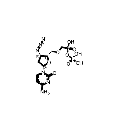 [N-]=[N+]=N[C@H]1C[C@@H](n2ccc(N)nc2=O)O[C@H]1COCP(=O)(O)OP(=O)(O)O